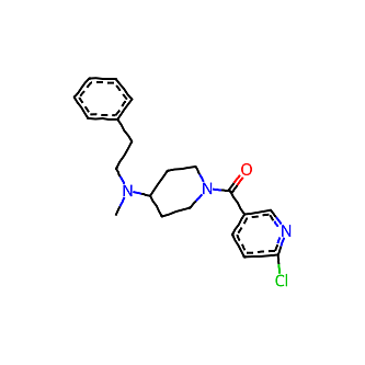 CN(CCc1ccccc1)C1CCN(C(=O)c2ccc(Cl)nc2)CC1